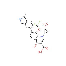 C[C@H]1NCc2cc(-c3ccc4c(=O)c(C(=O)O)cn(C5CC5)c4c3OC(F)F)ccc21.O